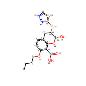 CCCCOc1ccc2c(c1C(=O)O)OB(O)[C@@H](Sc1nncs1)C2